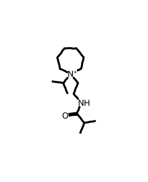 CC(C)C(=O)NCC[N+]1(C(C)C)CCCCCC1